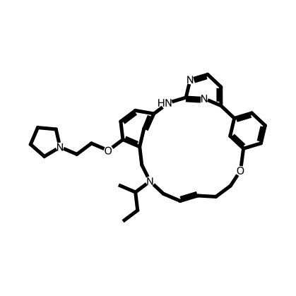 CCC(C)N1C/C=C/CCOc2cccc(c2)-c2ccnc(n2)Nc2ccc(OCCN3CCCC3)c(c2)C1